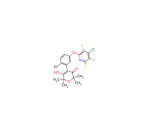 CCc1ccc(Oc2nc(F)c(F)c(Cl)c2F)cc1C1=C(O)C(C)(C)OC(C)(C)C1=O